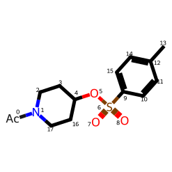 CC(=O)N1CCC(OS(=O)(=O)c2ccc(C)cc2)CC1